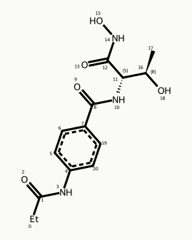 CCC(=O)Nc1ccc(C(=O)N[C@H](C(=O)NO)[C@@H](C)O)cc1